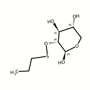 CCCSO[C@@H]1[C@@H](O)[C@H](O)CO[C@H]1O